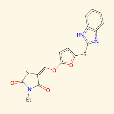 CCN1C(=O)S/C(=C/Oc2ccc(Sc3nc4ccccc4[nH]3)o2)C1=O